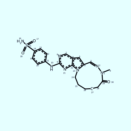 CN1/N=C\c2cc3cnc(Nc4ccc(S(N)(=O)=O)cc4)nc3n2CCCCCC1=O